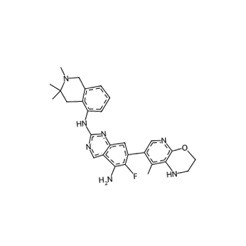 Cc1c(-c2cc3nc(Nc4cccc5c4CC(C)(C)N(C)C5)ncc3c(N)c2F)cnc2c1NCCO2